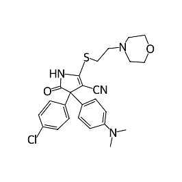 CN(C)c1ccc(C2(c3ccc(Cl)cc3)C(=O)NC(SCCN3CCOCC3)=C2C#N)cc1